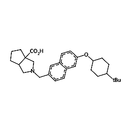 CC(C)(C)C1CCC(Oc2ccc3cc(CN4CC5CCCC5(C(=O)O)C4)ccc3c2)CC1